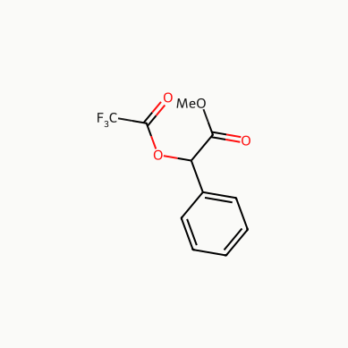 COC(=O)C(OC(=O)C(F)(F)F)c1ccccc1